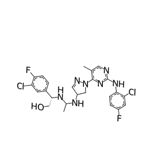 Cc1cnc(Nc2ccc(F)cc2Cl)nc1N1CC(NC(C)N[C@H](CO)c2ccc(F)c(Cl)c2)C=N1